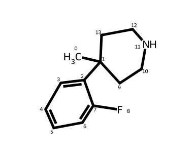 CC1(c2ccccc2F)CCNCC1